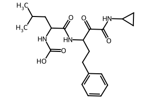 CC(C)CC(NC(=O)O)C(=O)NC(CCc1ccccc1)C(=O)C(=O)NC1CC1